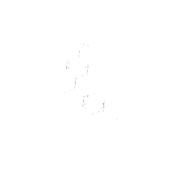 CC(c1ccc(S)cc1)c1ccc(Cl)cc1